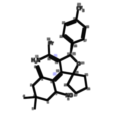 C=C1CC(C)(C)CC(N=O)/C1=C1/C(=C(\N)C(C)C)[C@@H](c2ccc(C(F)(F)F)cc2)OC12CCCC2